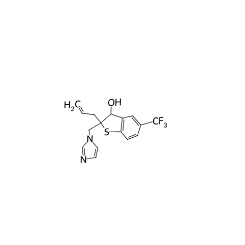 C=CCC1(Cn2ccnc2)Sc2ccc(C(F)(F)F)cc2C1O